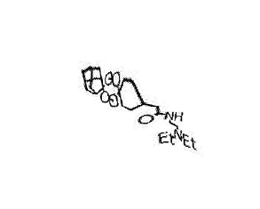 CCN(CC)CCNC(=O)CC1CCC2(CC1)OOC1(OO2)C2CC3CC(C2)CC1C3